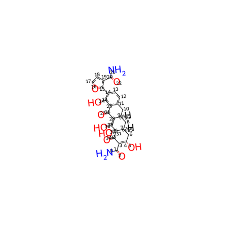 NC(=O)C1=C(O)C[C@@H]2C[C@@H]3Cc4ccc(-c5occc5C(N)=O)c(O)c4C(=O)C3=C(O)[C@]2(O)C1=O